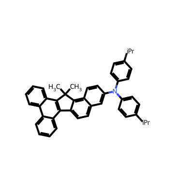 CC(C)c1ccc(N(c2ccc(C(C)C)cc2)c2ccc3c4c(ccc3c2)-c2c(c3ccccc3c3ccccc23)C4(C)C)cc1